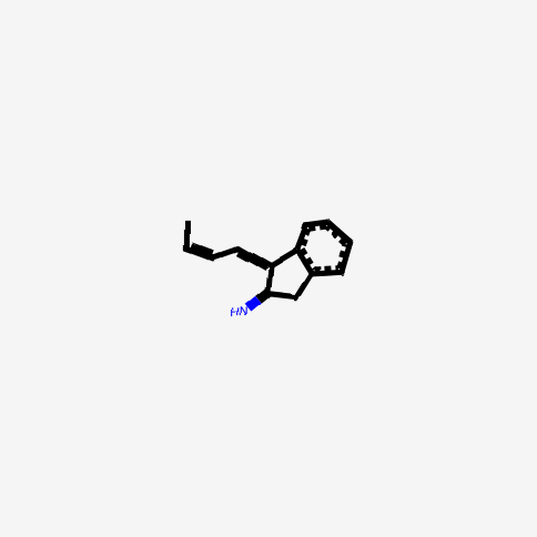 C/C=C\C=C1/C(=N)Cc2ccccc21